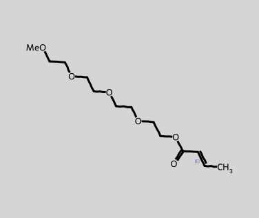 C/C=C/C(=O)OCCOCCOCCOCCOC